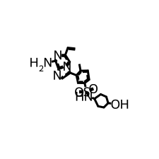 C=Cc1cn2c(-c3cc(S(=O)(=O)NC4CCC(O)CC4)ccc3C)cnc2c(N)n1